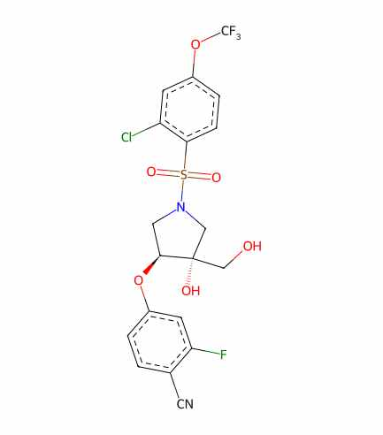 N#Cc1ccc(O[C@H]2CN(S(=O)(=O)c3ccc(OC(F)(F)F)cc3Cl)C[C@@]2(O)CO)cc1F